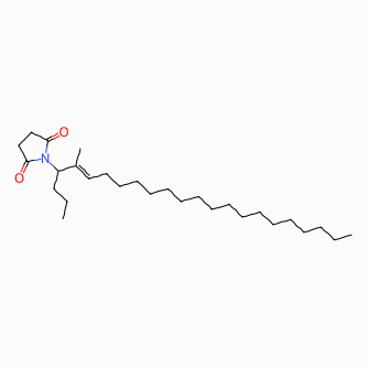 CCCCCCCCCCCCCCCCC/C=C(\C)C(CCC)N1C(=O)CCC1=O